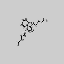 CCCCCOC(=O)C1(C(=O)OCCCCC)C=CCCC1